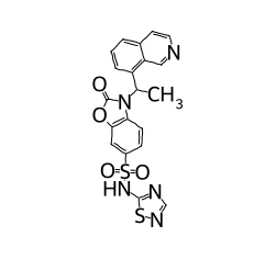 CC(c1cccc2ccncc12)n1c(=O)oc2cc(S(=O)(=O)Nc3ncns3)ccc21